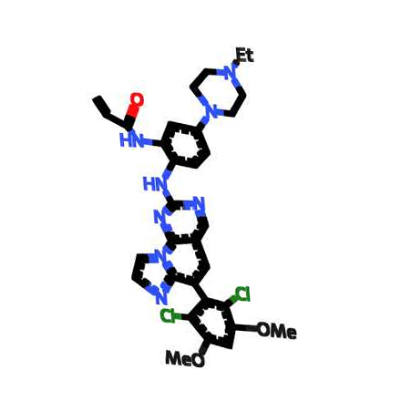 C=CC(=O)Nc1cc(N2CCN(CC)CC2)ccc1Nc1ncc2cc(-c3c(Cl)c(OC)cc(OC)c3Cl)c3nccn3c2n1